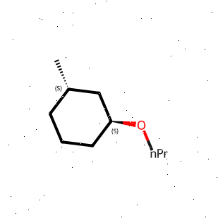 CCCO[C@H]1CCC[C@H](C)C1